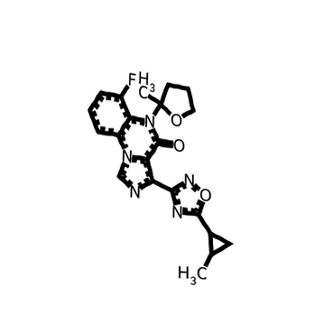 CC1CC1c1nc(-c2ncn3c2c(=O)n(C2(C)CCCO2)c2c(F)cccc23)no1